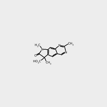 Cc1ncc2cc3c(cc2n1)N(C)C(=O)C3(C)C(=O)O